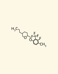 CCCC1CCC(COc2ccc(C)c(F)c2C(F)(F)F)OC1